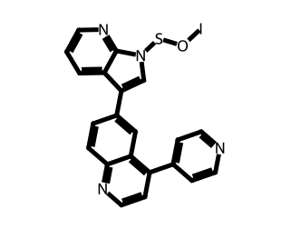 IOSn1cc(-c2ccc3nccc(-c4ccncc4)c3c2)c2cccnc21